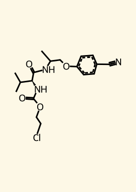 CC(COc1ccc(C#N)cc1)NC(=O)[C@@H](NC(=O)OCCCl)C(C)C